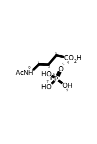 CC(=O)NCCCC(=O)O.O=P(O)(O)O